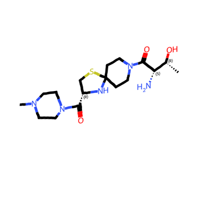 C[C@@H](O)[C@H](N)C(=O)N1CCC2(CC1)N[C@H](C(=O)N1CCN(C)CC1)CS2